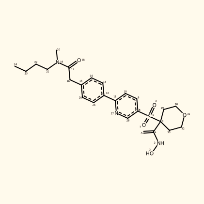 C=C(NO)C1(S(=O)(=O)c2ccc(-c3ccc(CC(=O)N(C)CCCC)cc3)nc2)CCOCC1